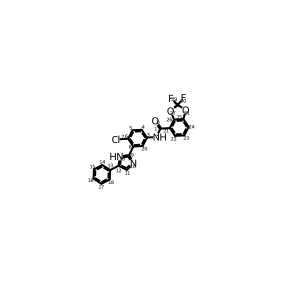 O=C(Nc1ccc(Cl)c(-c2ncc(-c3ccccc3)[nH]2)c1)c1cccc2c1OC(F)(F)O2